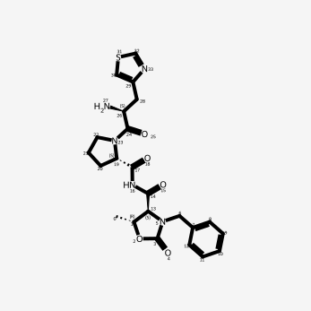 C[C@H]1OC(=O)N(Cc2ccccc2)[C@@H]1C(=O)NC(=O)[C@@H]1CCCN1C(=O)[C@@H](N)Cc1cscn1